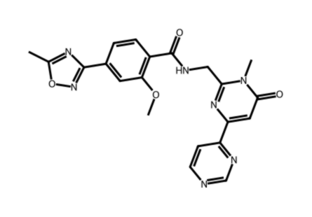 COc1cc(-c2noc(C)n2)ccc1C(=O)NCc1nc(-c2ccncn2)cc(=O)n1C